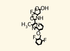 Cc1nc2c(OCc3c(F)cccc3F)cccn2c1C(=O)NC(CC(=O)O)C(F)(F)F